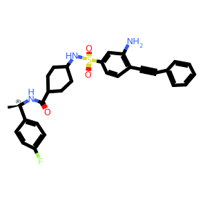 C[C@@H](NC(=O)C1CCC(NS(=O)(=O)c2ccc(C#Cc3ccccc3)c(N)c2)CC1)c1ccc(F)cc1